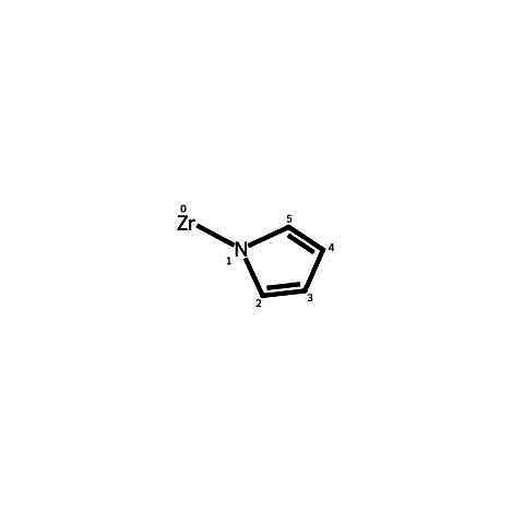 [Zr][n]1cccc1